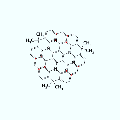 CC1(C)c2ccccc2N(c2c(-c3ncccn3)c(N3c4ccccc4C(C)(C)c4ccccc43)c(-c3ncccn3)c(N3c4ccccc4C(C)(C)c4ccccc43)c2-c2ncccn2)c2ccccc21